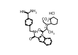 C[C@@H](C(=O)n1c(C(=O)NCc2ccc(C(=N)N)cc2)cc2ccccc21)N(CC(=O)O)C1CCCCC1.Cl